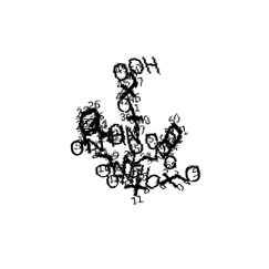 CC(C)(CC=O)COCC(C)(C)CNC(=O)N(C(=O)CCN1C(=O)C2C3C=CC(O3)C2C1=O)N(CONCC(C)(C)COCC(C)(C)CC(=O)O)C(=O)CCN1C(=O)C2C3C=CC(O3)C2C1=O